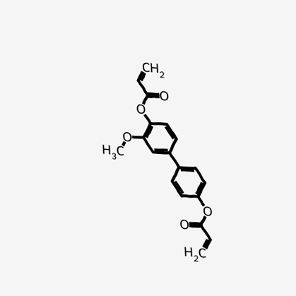 C=CC(=O)Oc1ccc(-c2ccc(OC(=O)C=C)c(OC)c2)cc1